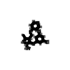 Cc1nn(C(C)C)c(Sc2cc(Cl)cc(Cl)c2)c1CSc1ccncc1